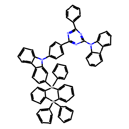 c1ccc(-c2nc(-c3ccc(-n4c5ccccc5c5ccc([Si]6(c7ccccc7)c7ccccc7[Si](c7ccccc7)(c7ccccc7)c7ccccc76)cc54)cc3)nc(-n3c4ccccc4c4ccccc43)n2)cc1